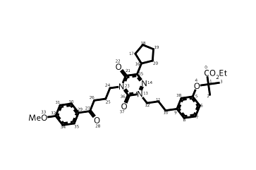 CCOC(=O)C(C)(C)Oc1cccc(CCCn2nc(C3CCCC3)c(=O)n(CCCC(=O)c3ccc(OC)cc3)c2=O)c1